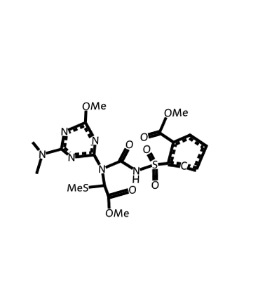 COC(=O)c1ccccc1S(=O)(=O)NC(=O)N(c1nc(OC)nc(N(C)C)n1)C(SC)C(=O)OC